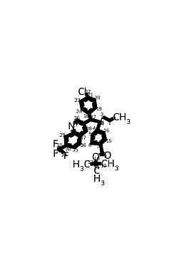 CCC[C@H](c1ccc(C(=O)OC(C)(C)C)cc1)C(c1ccc(Cl)cc1)c1cnc2cc(C(F)(F)F)ccc2c1